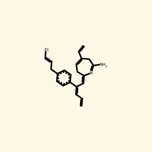 C=C/C=C(\C=C1/CC=C(C=C)CC(N)=N1)c1ccc(C/C=C/CC)cc1